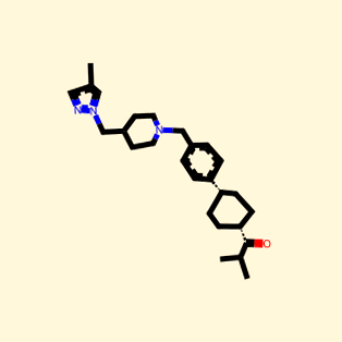 Cc1cnn(CC2CCN(Cc3ccc([C@H]4CC[C@@H](C(=O)C(C)C)CC4)cc3)CC2)c1